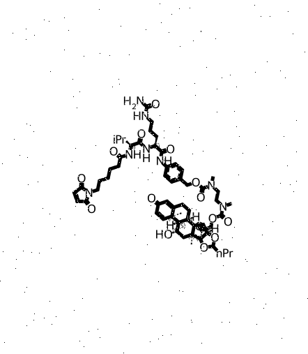 CCCC1O[C@@H]2CC3[C@@H]4CCC5=CC(=O)C=C[C@]5(C)[C@H]4[C@@H](O)C[C@]3(C)[C@]2(C(=O)COC(=O)N(C)CCN(C)C(=O)OCc2ccc(NC(=O)[C@H](CCCNC(N)=O)NC(=O)[C@@H](NC(=O)CCCCCN3C(=O)C=CC3=O)C(C)C)cc2)O1